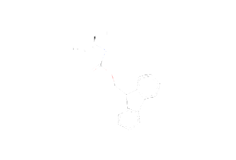 CC[C@H](C)[C@H](NC(=O)OCC1c2ccccc2-c2ccccc21)C(=O)O.F